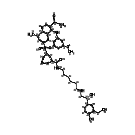 COc1cccc(Nc2c(C(N)=O)cnc3c(C)cc(S(=O)(=O)c4cccc(C(=O)NCCCCCCNC[C@H](O)c5ccc(O)c(CO)c5)c4)cc23)c1